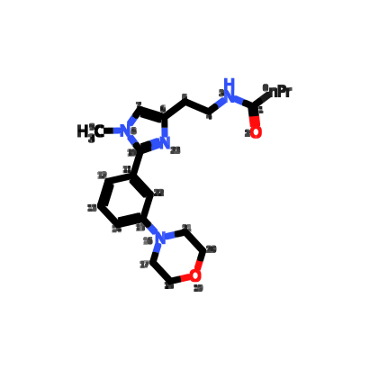 CCCC(=O)NCCc1cn(C)c(-c2cccc(N3CCOCC3)c2)n1